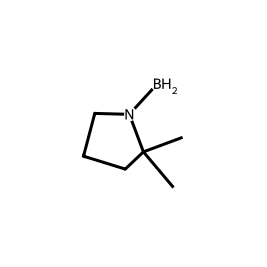 BN1CCCC1(C)C